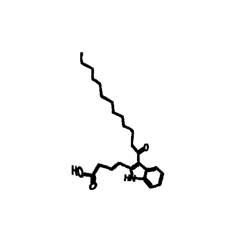 CCCCCCCCCCCCC(=O)c1c(CCCC(=O)O)[nH]c2ccccc12